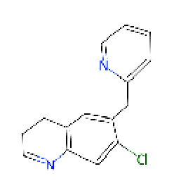 Clc1cc2c(cc1Cc1ccccn1)CCC=N2